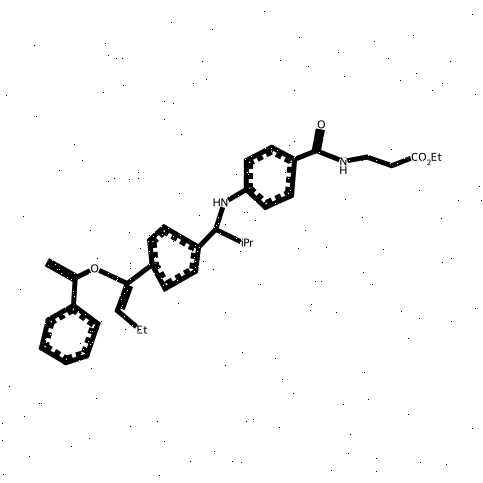 C=C(O/C(=C/CC)c1ccc(C(Nc2ccc(C(=O)NCCC(=O)OCC)cc2)C(C)C)cc1)c1ccccc1